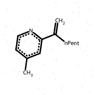 C=C(CCCCC)c1cc(C)ccn1